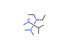 CCN(CC)[Si](NC)(C(C)C)N(C)C